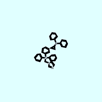 c1ccc(B(c2ccccc2)C2CC2)cc1.c1ccc([Si](Cn2ccnc2)(c2ccccc2)c2ccccc2)cc1